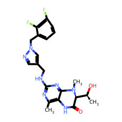 Cc1nc(NCc2cnn(Cc3cccc(F)c3F)c2)nc2c1NC(=O)[C@H]([C@H](C)O)N2C